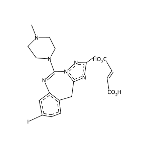 Cc1nc2n(n1)C(N1CCN(C)CC1)=Nc1cc(I)ccc1C2.O=C(O)C=CC(=O)O